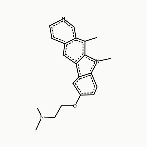 Cc1c2cnccc2cc2c3cc(OCCN(C)C)ccc3n(C)c12